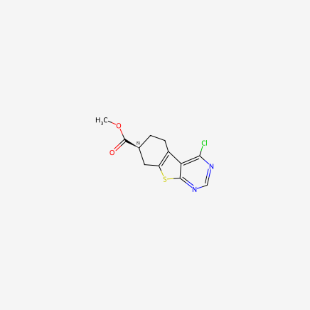 COC(=O)[C@H]1CCc2c(sc3ncnc(Cl)c23)C1